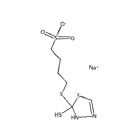 O=S(=O)([O-])CCCCSC1(S)NN=CS1.[Na+]